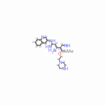 CN/C(OCCN1CCNCC1)=C(C=N)/C(N)=C/C(=N)Nc1cnc2ccccc2c1